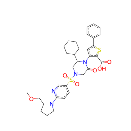 COCC1CCCN1c1ccc(S(=O)(=O)N2CC(=O)N(c3cc(-c4ccccc4)sc3C(=O)O)C(C3CCCCC3)C2)cn1